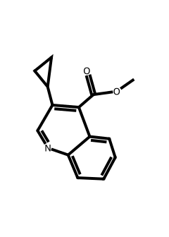 COC(=O)c1c(C2CC2)cnc2ccccc12